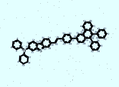 C1=CC(N(c2ccccc2)c2ccc3c(c2)sc2cc(/C=C/c4ccc(-c5ccc6c(-c7ccccc7)c(-c7ccccc7)c7ccccc7c6c5)cc4)ccc23)=CCC1